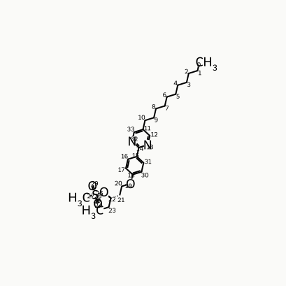 CCCCCCCCCCCc1cnc(-c2ccc(OCC[C@H](CC)OS(C)(=O)=O)cc2)nc1